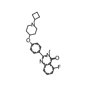 Cn1c(-c2ccc(OC3CCN(C4CCC4)CC3)cc2)nc2cccc(F)c2c1=O